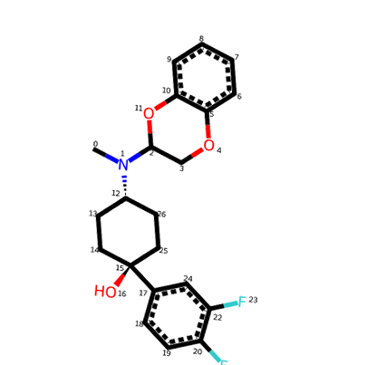 CN(C1COc2ccccc2O1)[C@H]1CC[C@@](O)(c2ccc(F)c(F)c2)CC1